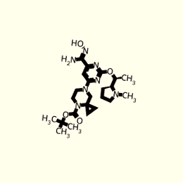 C[C@H](Oc1nc(/C(N)=N/O)cc(N2CCN(C(=O)OC(C)(C)C)C3(CC3)C2)n1)[C@@H]1CCCN1C